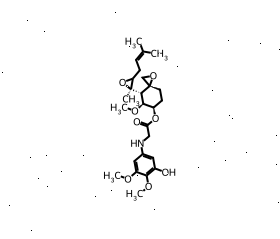 COc1cc(NCC(=O)O[C@@H]2CC[C@]3(CO3)[C@@H]([C@@]3(C)OC3CC=C(C)C)[C@@H]2OC)cc(O)c1OC